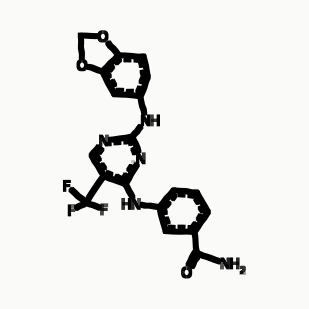 NC(=O)c1cccc(Nc2nc(Nc3ccc4c(c3)OCO4)ncc2C(F)(F)F)c1